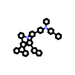 c1ccc(-c2ccc(N(c3ccccc3)c3ccc(-c4ccc5c(c4)c4cc(-c6ccc7ccccc7c6)ccc4n5-c4ccccc4-c4ccc5c6ccccc6c6ccccc6c5c4)cc3)cc2)cc1